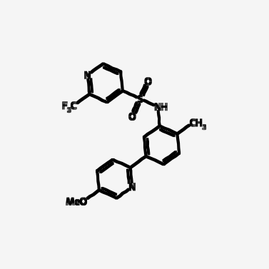 COc1ccc(-c2ccc(C)c(NS(=O)(=O)c3ccnc(C(F)(F)F)c3)c2)nc1